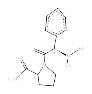 CCN(CC)[C@@H](C(=O)N1CCCC1C(N)=O)c1ccccc1